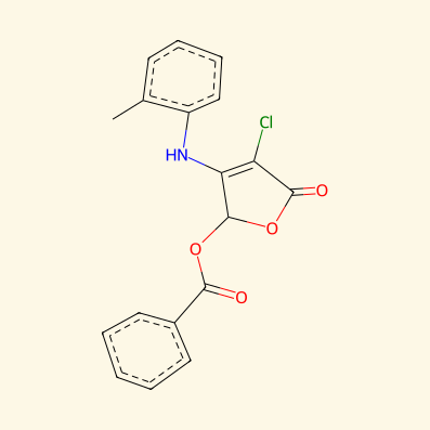 Cc1ccccc1NC1=C(Cl)C(=O)OC1OC(=O)c1ccccc1